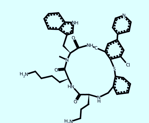 CN1C(=O)[C@H](CCCCN)NC(=O)[C@H](CCCN)NCc2ccccc2Sc2c(Cl)cc(-c3ccncc3)cc2CNC(=O)[C@@H]1Cc1c[nH]c2ccccc12